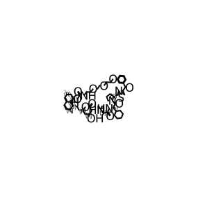 CN[C@@H](C)C(=O)N[C@H](C(=O)N1CCC[C@H]1c1nc(C(=O)c2cccc(OCCOCCOCCNC(=O)O[C@H]3C[C@@H](C)C=C4C=C[C@H](C)[C@H](CC[C@@H]5C[C@@H](O)CC(=O)O5)[C@H]43)c2)cs1)C1CCCCC1